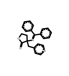 O=C1OCCC1(Cc1ccncc1)N=C(c1ccccc1)c1ccccc1